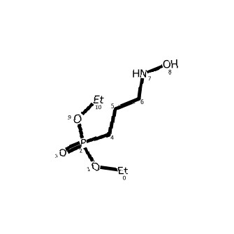 CCOP(=O)(CCCNO)OCC